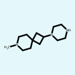 CN1CCC2(CC1)CC(N1CCNCC1)C2